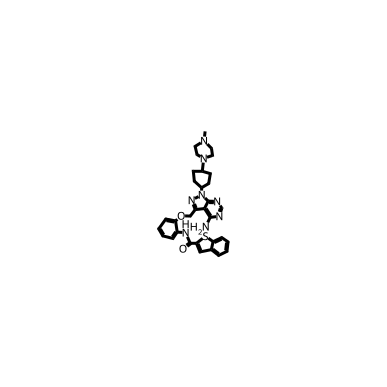 CN1CCN(C2CCC(n3nc(COc4ccccc4NC(=O)c4cc5ccccc5s4)c4c(N)ncnc43)CC2)CC1